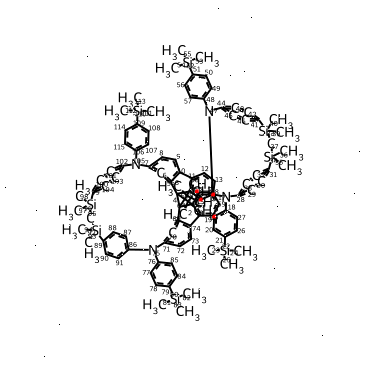 CC(C)(C)C12c3cc4ccc3-c3ccc(cc31)N(c1ccc([Si](C)(C)C)cc1)c1ccc(cc1)[Si](C)(C)C[Si](C)(C)c1ccc(cc1)N(c1ccc([Si](C)(C)C)cc1)c1ccc3c(c1)C2(C(C)(C)C)c1cc(ccc1-3)N(c1ccc([Si](C)(C)C)cc1)c1ccc(cc1)[Si](C)(C)C[Si](C)(C)c1ccc(cc1)N4c1ccc([Si](C)(C)C)cc1